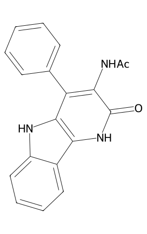 CC(=O)Nc1c(-c2ccccc2)c2[nH]c3ccccc3c2[nH]c1=O